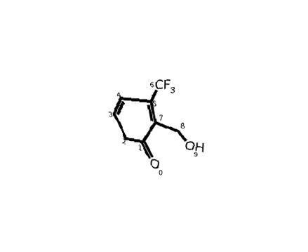 O=C1[CH]C=CC(C(F)(F)F)=C1CO